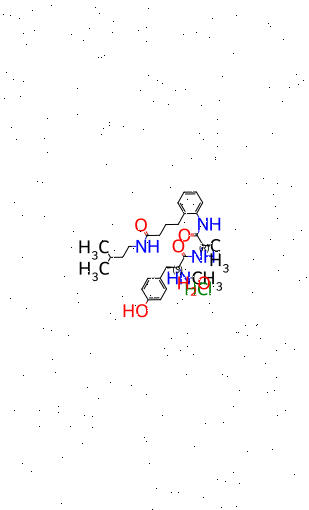 CN[C@@H](Cc1ccc(O)cc1)C(=O)N[C@H](C)C(=O)Nc1ccccc1CCCC(=O)NCCC(C)C.Cl.O